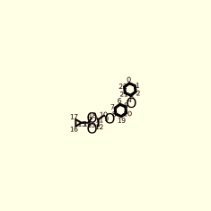 c1ccc(Oc2ccc(OCC3COC(C4CC4)O3)cc2)cc1